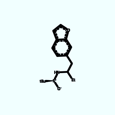 CCC(Cc1ccc2ccoc2c1)N[S@@+]([O-])C(C)(C)C